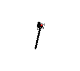 CCCCCCCCCCCCCCCCCC(=O)NC1(C(C)(C)C)C=CC=C(C(C)(C)C)C1O